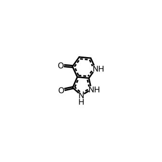 O=c1cc[nH]c2[nH][nH]c(=O)c12